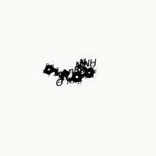 CCCCc1cn(CCC2=CCCC2)c(=O)n1Cc1ccc(-c2ccccc2-c2nnn[nH]2)cc1